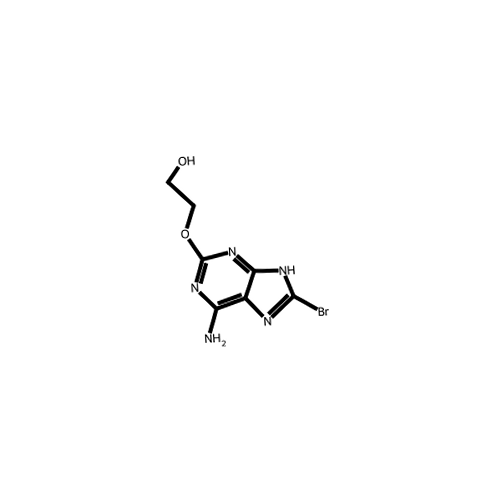 Nc1nc(OCCO)nc2[nH]c(Br)nc12